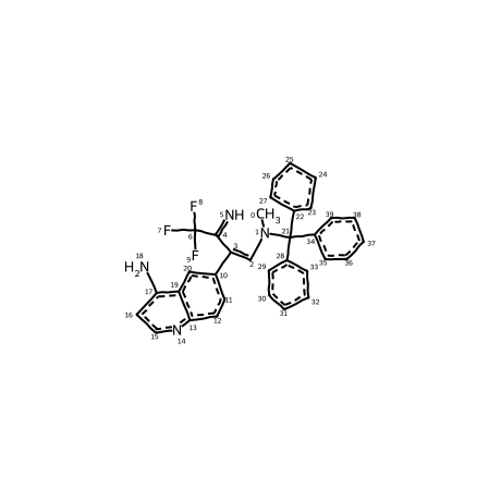 CN(/C=C(\C(=N)C(F)(F)F)c1ccc2nccc(N)c2c1)C(c1ccccc1)(c1ccccc1)c1ccccc1